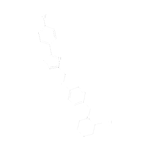 O=C(O)C1CCCCN1Cc1ccc(OCc2coc(-c3ccc(C(F)(F)F)cc3)n2)cc1